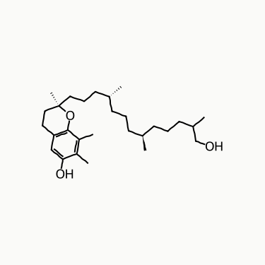 Cc1c(O)cc2c(c1C)O[C@](C)(CCC[C@H](C)CCC[C@H](C)CCCC(C)CO)CC2